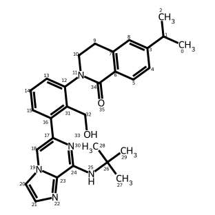 CC(C)c1ccc2c(c1)CCN(c1cccc(-c3cn4ccnc4c(NC(C)(C)C)n3)c1CO)C2=O